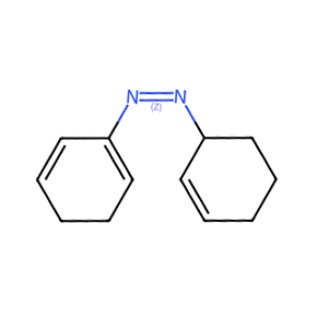 C1=CC(/N=N\C2C=CCCC2)=CCC1